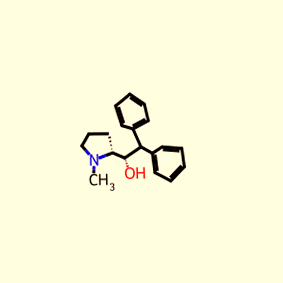 CN1CCC[C@@H]1[C@@H](O)C(c1ccccc1)c1ccccc1